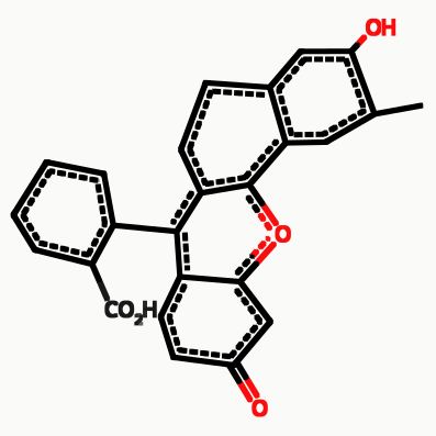 Cc1cc2c(ccc3c(-c4ccccc4C(=O)O)c4ccc(=O)cc-4oc32)cc1O